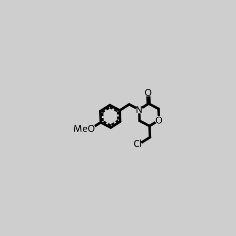 COc1ccc(CN2CC(CCl)OCC2=O)cc1